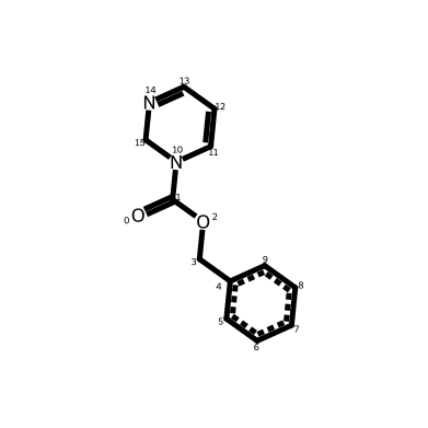 O=C(OCc1ccccc1)N1C=CC=NC1